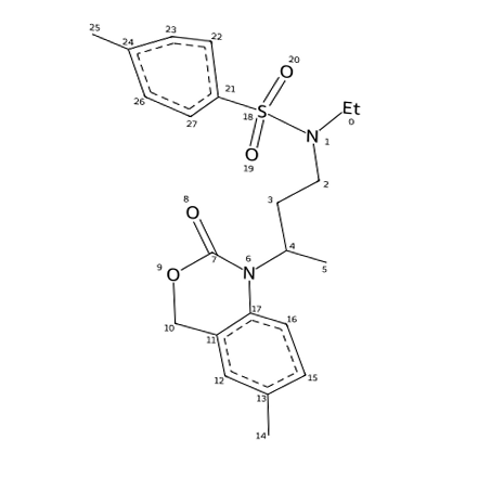 CCN(CCC(C)N1C(=O)OCc2cc(C)ccc21)S(=O)(=O)c1ccc(C)cc1